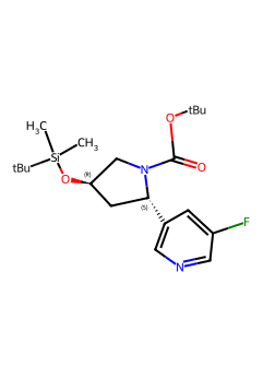 CC(C)(C)OC(=O)N1C[C@H](O[Si](C)(C)C(C)(C)C)C[C@H]1c1cncc(F)c1